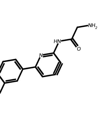 NCC(=O)Nc1c#ccc(-c2cccc(Br)c2)n1